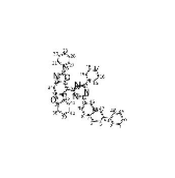 c1ccc(-c2ccc3ccc(-c4nc(-c5ccccc5)nc(-c5c6oc(-c7ccccc7)nc6cc6oc7ccccc7c56)n4)cc3c2)cc1